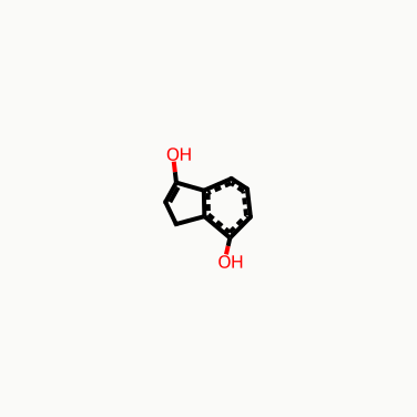 OC1=CCc2c(O)cccc21